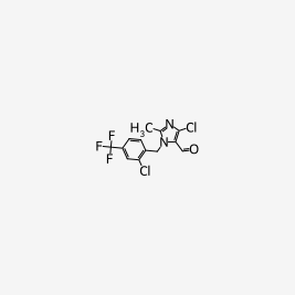 Cc1nc(Cl)c(C=O)n1Cc1ccc(C(F)(F)F)cc1Cl